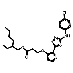 CCCCC(CC)COC(=O)CCSc1ccsc1-c1nnc(Nc2ccc(Cl)cc2)s1